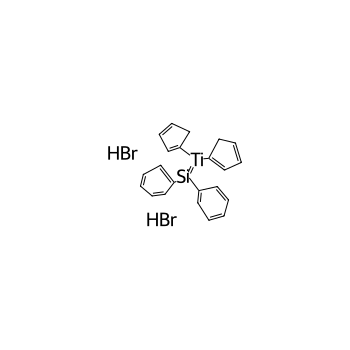 Br.Br.C1=CC[C]([Ti]([C]2=CC=CC2)=[Si](c2ccccc2)c2ccccc2)=C1